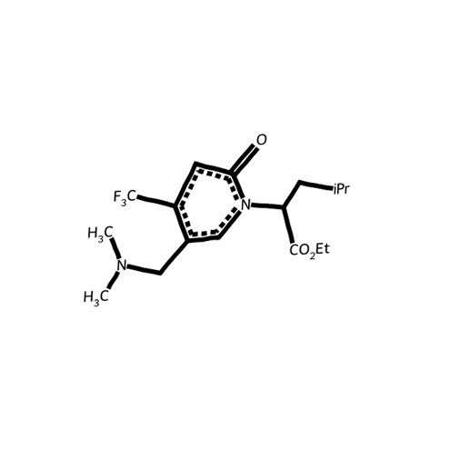 CCOC(=O)C(CC(C)C)n1cc(CN(C)C)c(C(F)(F)F)cc1=O